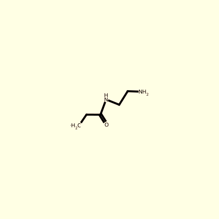 [CH2]CC(=O)NCCN